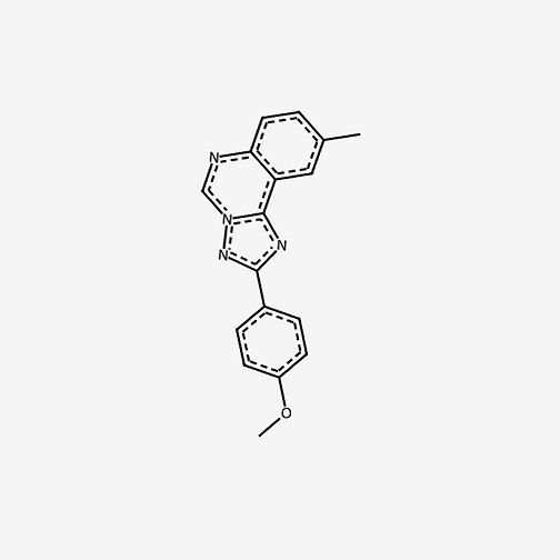 COc1ccc(-c2nc3c4cc(C)ccc4ncn3n2)cc1